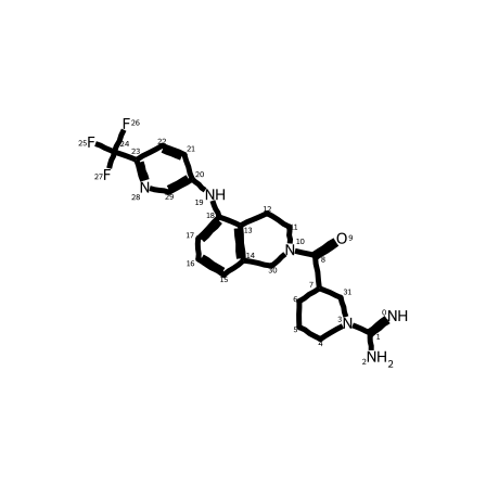 N=C(N)N1CCCC(C(=O)N2CCc3c(cccc3Nc3ccc(C(F)(F)F)nc3)C2)C1